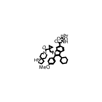 CCCS(=O)(=O)NC(=O)c1ccc2c(C3CCCCC3)c(-c3ccc(OC)cc3)n(CC3(C(=O)N4CCC5(CCCN5)CC4)CC3)c2c1